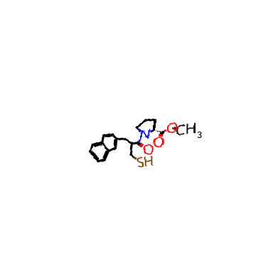 COC(=O)[C@H]1CCCN1C(=O)C(CS)Cc1ccc2ccccc2c1